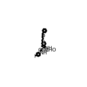 O=CNc1c(NC(=O)Nc2ccc(I)cc2)sc2c1CCN(CCCOCc1ccccc1)C2